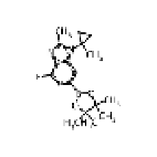 Cc1nc2c(F)cc(B3OC(C)(C)C(C)(C)O3)cc2n1C1(C)CC1